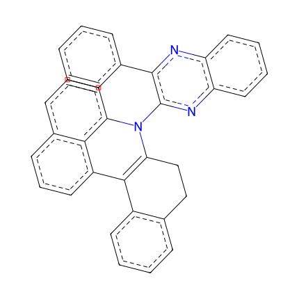 c1cccc(-c2nc3ccccc3nc2N2C3=C(c4ccccc4CC3)c3cccc4cccc2c34)c#1